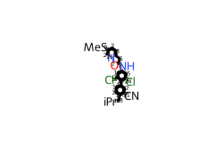 CSc1ccc(CC(=O)Nc2cc(Cl)c(-c3ccc(CC(C)C)c(C#N)c3)c(Cl)c2)nc1